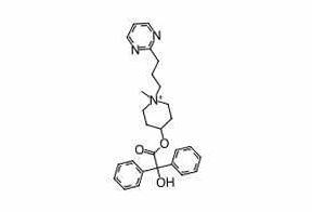 C[N+]1(CCCc2ncccn2)CCC(OC(=O)C(O)(c2ccccc2)c2ccccc2)CC1